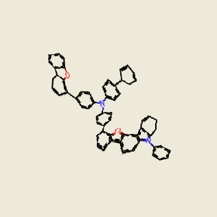 C1=CCC(c2ccc(N(c3ccc(C4=C5Oc6ccccc6C5CC=C4)cc3)c3ccc(-c4cccc5c4oc4c5ccc5c4c4c(n5-c5ccccc5)CCC=C4)cc3)cc2)C=C1